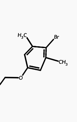 Cc1cc(OCC#N)cc(C)c1Br